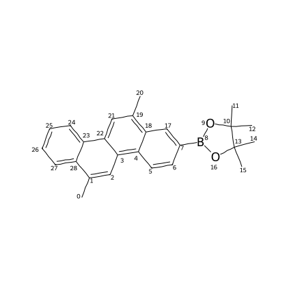 Cc1cc2c3ccc(B4OC(C)(C)C(C)(C)O4)cc3c(C)cc2c2ccccc12